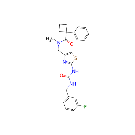 CN(Cc1csc(NC(=O)NCc2cccc(F)c2)n1)C(=O)C1(c2ccccc2)CCC1